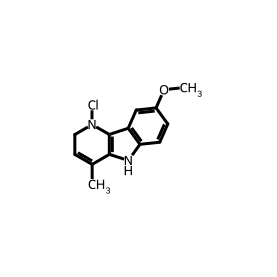 COc1ccc2[nH]c3c(c2c1)N(Cl)CC=C3C